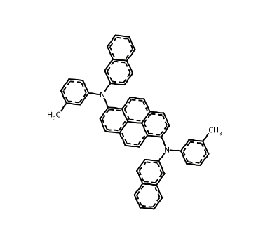 Cc1cccc(N(c2ccc3ccccc3c2)c2ccc3ccc4c(N(c5cccc(C)c5)c5ccc6ccccc6c5)ccc5ccc2c3c54)c1